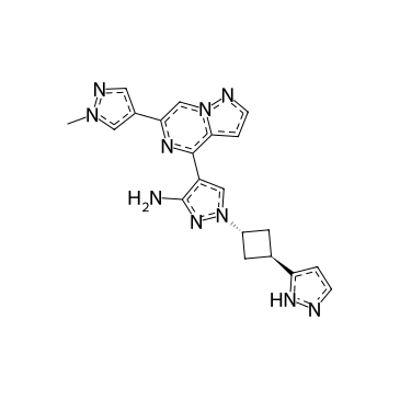 Cn1cc(-c2cn3nccc3c(-c3cn([C@H]4C[C@H](c5ccn[nH]5)C4)nc3N)n2)cn1